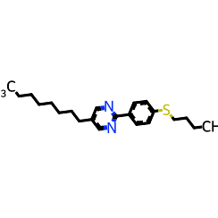 CCCCCCCCc1cnc(-c2ccc(SCCCC)cc2)nc1